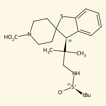 CC(C)(CN[S@+]([O-])C(C)(C)C)[C@@H]1c2ccccc2SC12CCN(C(=O)O)CC2